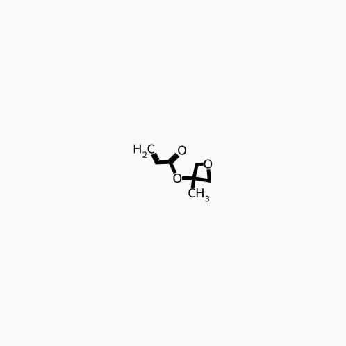 C=CC(=O)OC1(C)COC1